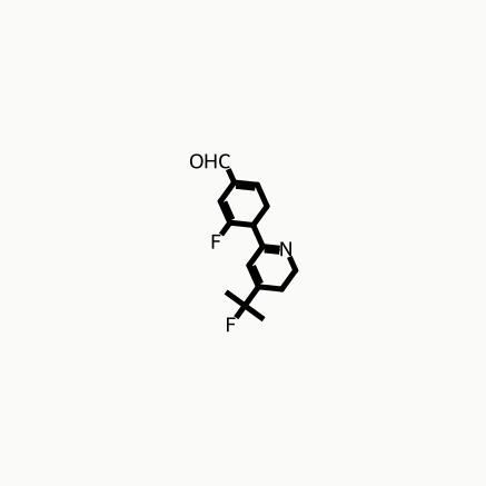 CC(C)(F)C1=CC(C2CC=C(C=O)C=C2F)=NCC1